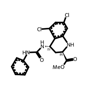 COC(=O)[C@H]1C[C@H](NC(=O)Nc2ccccc2)c2c(Cl)cc(Cl)cc2N1